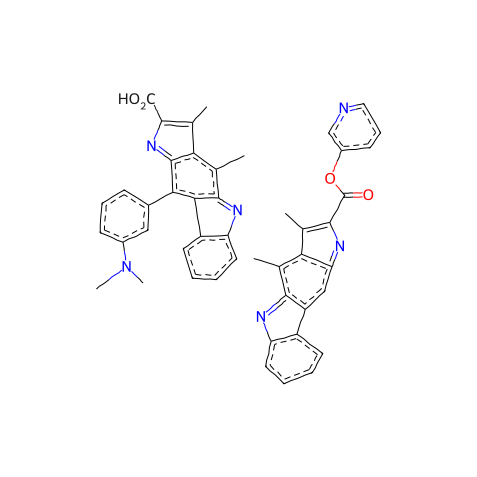 CC1=C(C(=O)O)N=c2c1c(C)c1c(c2-c2cccc(N(C)C)c2)-c2ccccc2N=1.CC1=C(C(=O)Oc2cccnc2)N=c2cc3c(c(C)c21)=Nc1ccccc1-3